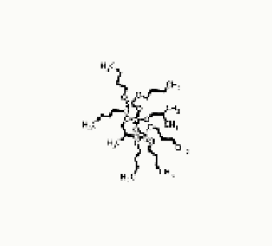 CCCCO[Si](OCCCC)(OCCCC)[O][Zr]([O]CC(C)C)([O]CC(C)C)[O][Si](OCCCC)(OCCCC)OCCCC